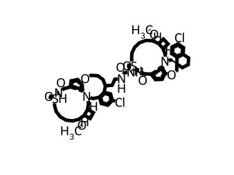 CO[C@H]1CCCCC/[SH](=O)=N\C(=O)c2ccc3c(c2)N(Cc2ccc(Cl)cc2C(CCNC(=O)N[S@]2(=O)=NC(=O)c4ccc5c(c4)N(C[C@@H]4CC[C@H]4[C@@H](OC)CCCCC2)C[C@@]2(CCCc4cc(Cl)ccc42)CO5)CCCO3)C[C@@H]2CC[C@H]21